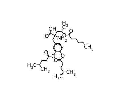 CCCCCC(=O)O[C@@H](C)CC(N)(Cc1ccc(OC(=O)CCC(C)C)c(OC(=O)CCC(C)C)c1)C(=O)O